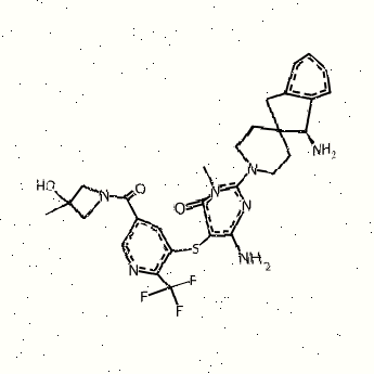 Cn1c(N2CCC3(CC2)Cc2ccccc2[C@H]3N)nc(N)c(Sc2cc(C(=O)N3CC(C)(O)C3)cnc2C(F)(F)F)c1=O